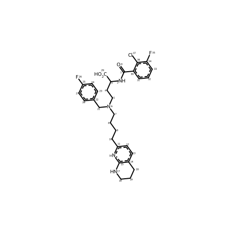 O=C(NC(CCN(CCCCc1ccc2c(n1)NCCC2)Cc1ccc(F)cc1)C(=O)O)c1cccc(F)c1Cl